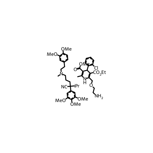 CCOC(=O)C1=C(COCCN)NC(C)=C(C(=O)OC)C1c1ccccc1Cl.COc1ccc(CCN(C)CCCC(C#N)(c2cc(OC)c(OC)c(OC)c2)C(C)C)cc1OC